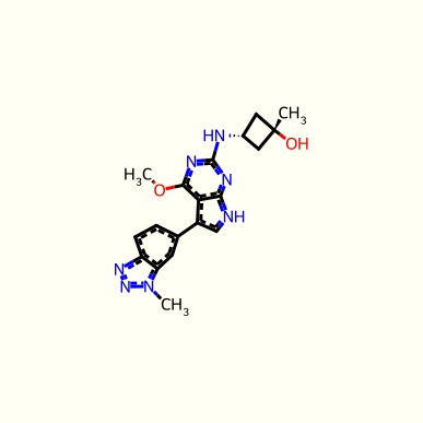 COc1nc(N[C@H]2C[C@@](C)(O)C2)nc2[nH]cc(-c3ccc4nnn(C)c4c3)c12